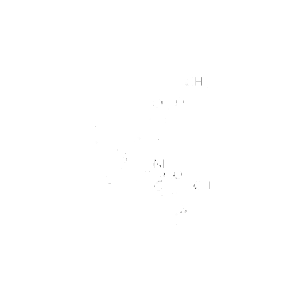 CCOC(=O)C1(c2ccc(-c3ccccc3)c(-c3sc(Cl)cc3NC(=O)OC(C)c3cccs3)c2)CC1